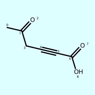 CC(=O)CC#CC(=O)O